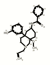 C=CCN1CCC2(c3cccc(O)c3)CC(NC(=O)c3ccccc3)CCC2(OC)C1